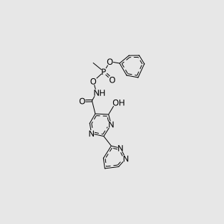 CP(=O)(ONC(=O)c1cnc(-c2cccnn2)nc1O)Oc1ccccc1